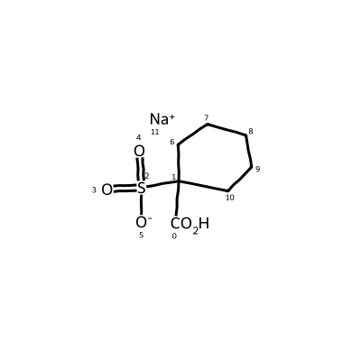 O=C(O)C1(S(=O)(=O)[O-])CCCCC1.[Na+]